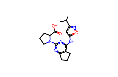 CC(C)c1cc(Nc2nc(N3CCCC3C(=O)O)nc3c2CCC3)on1